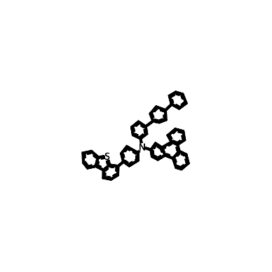 c1ccc(-c2ccc(-c3cccc(N(c4ccc(-c5cccc6c5sc5ccccc56)cc4)c4ccc5c6ccccc6c6ccccc6c5c4)c3)cc2)cc1